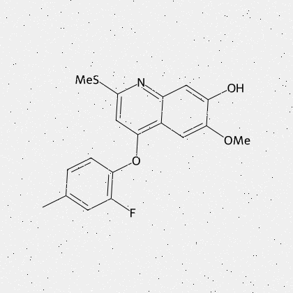 COc1cc2c(Oc3ccc(C)cc3F)cc(SC)nc2cc1O